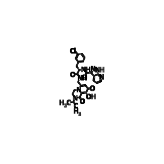 CC(C)N1CCn2c(CNC(=O)[C@@H](Cc3cccc(Cl)c3)NC(=O)c3n[nH]c4ncccc34)cc(=O)c(O)c2C1=O